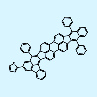 c1ccc(-c2c3c(c(-c4ccccc4)c4ccccc24)-c2ccc4c5ccc6c7c(ccc(c8ccc-3c2c84)c57)c2c(-c3ccccc3)c3cc(-c4cccs4)cc4c5ccccc5c(c34)c62)cc1